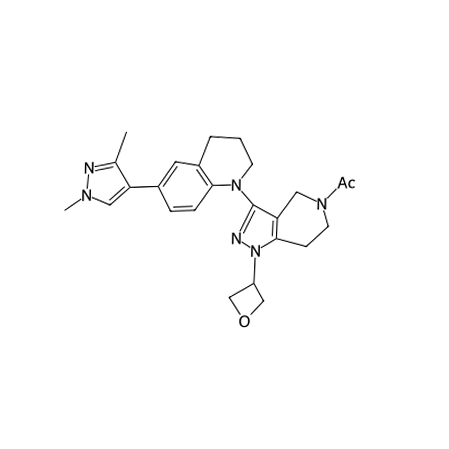 CC(=O)N1CCc2c(c(N3CCCc4cc(-c5cn(C)nc5C)ccc43)nn2C2COC2)C1